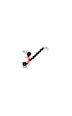 [CH2]CCCCCCCCCCCCCC[C](OOC(=O)c1cccc(C)c1)OOC(=O)c1cccc(C)c1